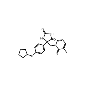 Cc1cccn(CC2(c3ccc(OC4CCCC4)cc3)NC(=O)NC2=O)c1=O